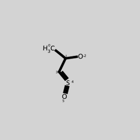 CC([O])C=S=O